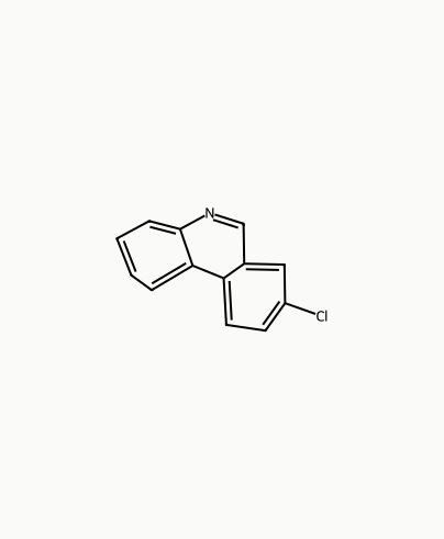 Clc1ccc2c(cnc3ccccc32)c1